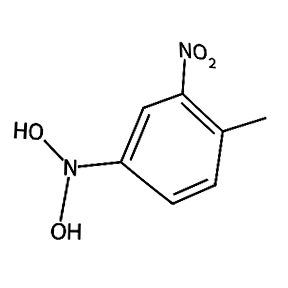 Cc1ccc(N(O)O)cc1[N+](=O)[O-]